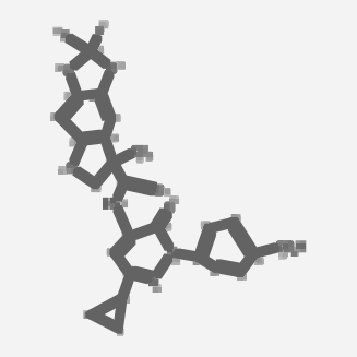 CC1(C(=O)Nc2cc(C3CC3)nn(-c3ccc(C(=O)O)cc3)c2=O)COc2cc3c(cc21)OC(F)(F)O3